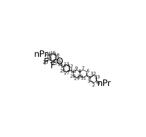 CCCc1ccc(C2CCC3CC(c4ccc(COc5ccc(CCC)c(F)c5F)cc4)CCC3C2)cc1